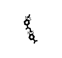 Cc1nc2ccc(C(C)Cc3nc4ccc(C(C)C)cc4s3)cc2s1